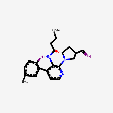 Bc1ccc(P)c(-c2ccnc(N3CCC(C=P)C3)c2NC(=O)CCOC)c1